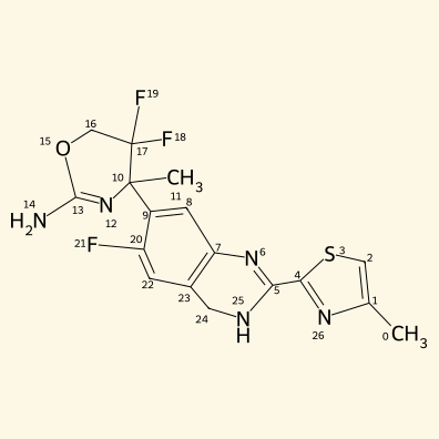 Cc1csc(C2=Nc3cc(C4(C)N=C(N)OCC4(F)F)c(F)cc3CN2)n1